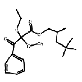 CCOC(OO)(C(=O)OCC(C)CC(C)(C)C)C(=O)c1ccccc1